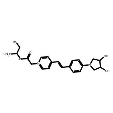 O=C(C[n+]1ccc(/C=C/c2ccc(N3CC(O)C(O)C3)cc2)cc1)NC(CS)C(=O)O